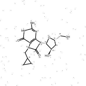 Nc1nc2c(c(=O)[nH]1)n(CC1CC1)c(=O)n2[C@@H]1O[C@H](CO)C[C@H]1O